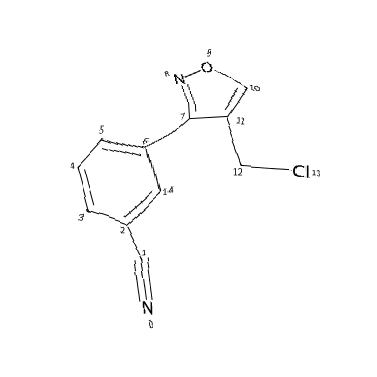 N#Cc1cccc(-c2nocc2CCl)c1